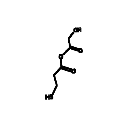 O=C(CO)OC(=O)CCS